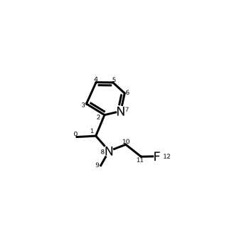 CC(c1ccccn1)N(C)CCF